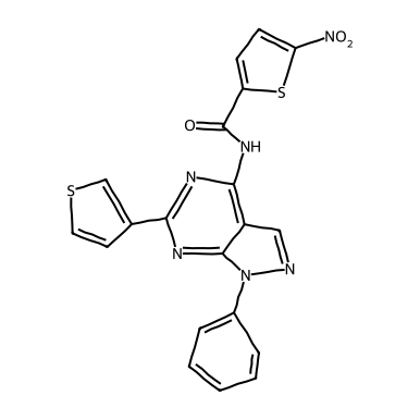 O=C(Nc1nc(-c2ccsc2)nc2c1cnn2-c1ccccc1)c1ccc([N+](=O)[O-])s1